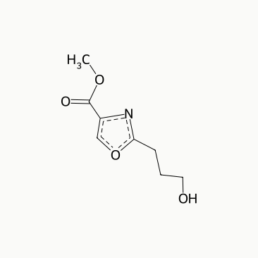 COC(=O)c1coc(CCCO)n1